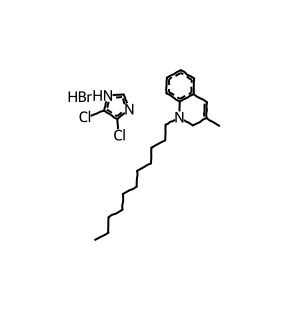 Br.CCCCCCCCCCCN1CC(C)=Cc2ccccc21.Clc1nc[nH]c1Cl